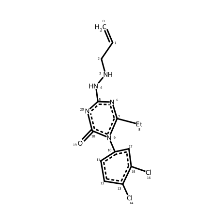 C=CCNNc1nc(CC)n(-c2ccc(Cl)c(Cl)c2)c(=O)n1